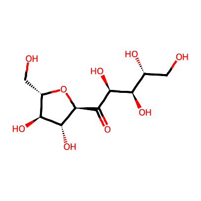 O=C([C@@H](O)[C@H](O)[C@H](O)CO)[C@@H]1O[C@@H](CO)[C@H](O)[C@H]1O